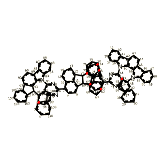 c1ccc(-c2nc(-c3ccc4c5c(cccc35)C35c6cccc7c(-c8nc(-c9ccccc9)nc(-n9c%10ccccc%10c%10ccc%11c%12ccccc%12n(-c%12ccccc%12)c%11c%109)n8)ccc(c67)C43c3cccc4sc6cccc5c6c34)nc(-n3c4ccccc4c4ccc5c(c43)C(c3ccccc3)c3ccccc3-5)n2)cc1